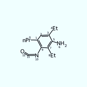 CCCc1cc(CC)c(N)c(CC)c1N=C=O